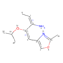 C/C=C(N)\C(=C/c1coc(C)n1)OC(C)C